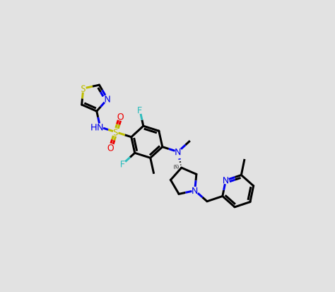 Cc1cccc(CN2CC[C@H](N(C)c3cc(F)c(S(=O)(=O)Nc4cscn4)c(F)c3C)C2)n1